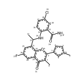 Cc1c(-c2ccn(C)c2)oc2c(C(C)Nc3ccc(Cl)nc3C(N)=O)cc(F)cc2c1=O